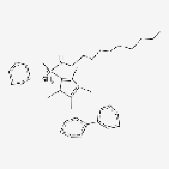 CCCCCCCCCC[NH][Zr]([CH3])([SiH2]c1ccccc1)[C]1=C(C)C(C)=C(C)C1C.c1ccc(-c2ccccc2)cc1